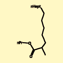 CCCCCCCCCCCCC(C)C(=O)OCCC